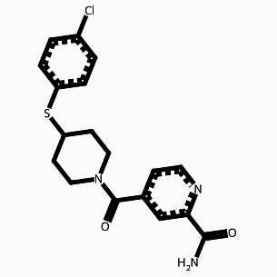 NC(=O)c1cc(C(=O)N2CCC(Sc3ccc(Cl)cc3)CC2)ccn1